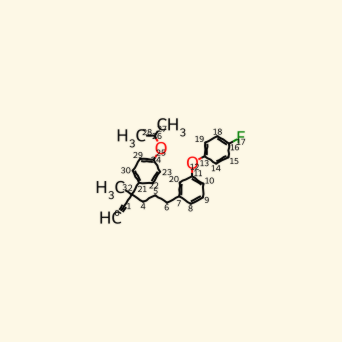 C#CC(C)(CCCc1cccc(Oc2ccc(F)cc2)c1)c1ccc(OC(C)C)cc1